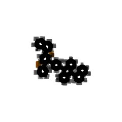 c1ccc2c(-c3c4ccccc4c(-c4ccc(-c5c6sc7ccc8ccccc8c7c6cc6sc7ccccc7c56)cc4)c4ccccc34)cccc2c1